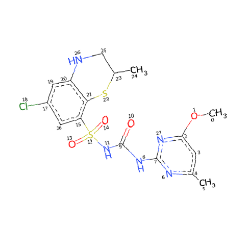 COc1cc(C)nc(NC(=O)NS(=O)(=O)c2cc(Cl)cc3c2SC(C)CN3)n1